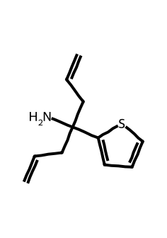 C=CCC(N)(CC=C)c1cccs1